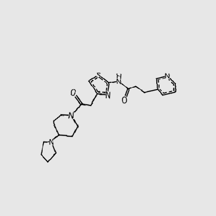 O=C(CCc1cccnc1)Nc1nc(CC(=O)N2CCC(N3CCCC3)CC2)cs1